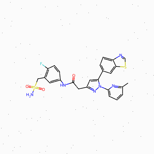 Cc1cccc(-n2nc(CC(=O)Nc3ccc(F)c(CS(N)(=O)=O)c3)cc2-c2ccc3ncsc3c2)n1